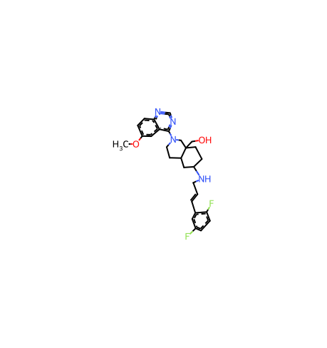 COc1ccc2ncnc(N3CCC4CC(NCC=Cc5cc(F)ccc5F)CCC4(CO)C3)c2c1